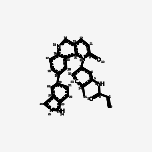 C=CC(=O)Nc1cc(-n2c(=O)ccc3cnc4ccc(-c5ccc6[nH]ncc6c5)cc4c32)ccc1C